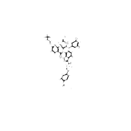 COc1ccc(CCS(=O)(=O)Nc2nn(C)c3c(-n4c([C@H](Cc5cc(F)cc(F)c5)NC(=O)O)nc5nc(OCCC(F)(F)F)ccc5c4=O)ccc(Cl)c23)cc1